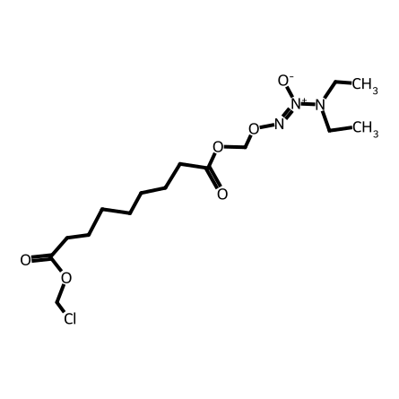 CCN(CC)/[N+]([O-])=N/OCOC(=O)CCCCCCCC(=O)OCCl